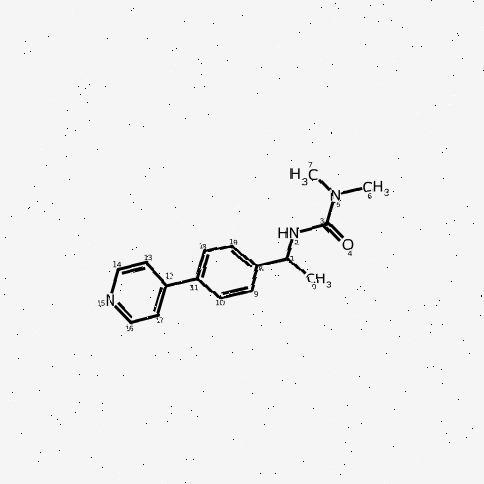 CC(NC(=O)N(C)C)c1ccc(-c2ccncc2)cc1